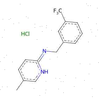 Cc1ccc(=NCc2cccc(C(F)(F)F)c2)[nH]c1.Cl